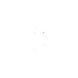 CC(=N)N.Cl.c1csnn1